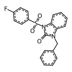 O=c1n(Cc2ccccc2)c2ccccc2n1S(=O)(=O)c1ccc(F)cc1